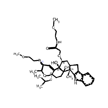 COCC/N=C1/C=C2[C@@](OC(C)C)(CCC3(C)[C@@]4(C)c5[nH]c6ccccc6c5CC4C[C@H](OCC(=O)NCCOC)[C@@]23O)OC1C